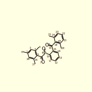 Cc1cc(C)c(C(=O)[P](=O)c2ccccc2C(=O)c2c(C)cccc2C)c(C)c1